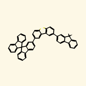 CC1(C)c2ccccc2-c2ccc(-c3ccc4sc5ccc(-c6ccc7c(c6)C6(c8ccccc8-c8ccccc86)c6ccccc6-7)cc5c4c3)cc21